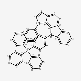 c1ccc(-n2ccc3ccc4c5ccccc5n(-c5ccc(S(c6ccccc6)(c6ccccc6)c6ccccc6)cc5)c4c32)cc1